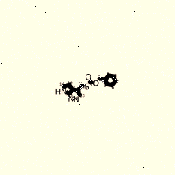 O=C(OCc1ccccc1)SCc1cnnc2[nH]ccc12